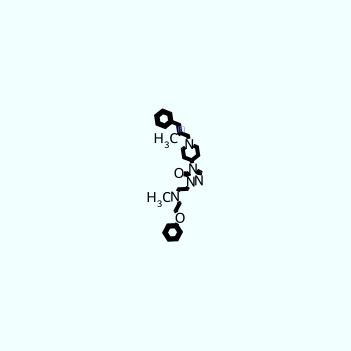 C/C(=C\c1ccccc1)CN1CCC(n2cnn(CCN(C)CCOc3ccccc3)c2=O)CC1